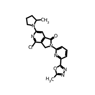 Cc1nnc(-c2cccc(N3Cc4c(cc(N5CCCC5C)nc4Cl)C3=O)n2)o1